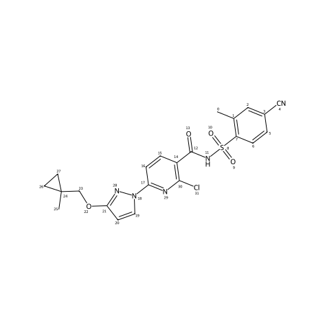 Cc1cc(C#N)ccc1S(=O)(=O)NC(=O)c1ccc(-n2ccc(OCC3(C)CC3)n2)nc1Cl